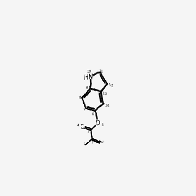 C=C(C)C(=O)Oc1ccc2[nH]ccc2c1